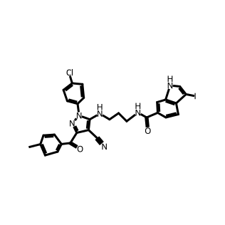 Cc1ccc(C(=O)c2nn(-c3ccc(Cl)cc3)c(NCCCNC(=O)c3ccc4c(I)c[nH]c4c3)c2C#N)cc1